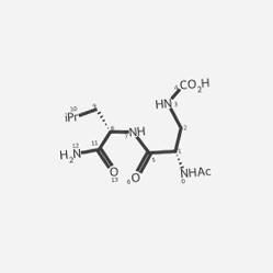 CC(=O)N[C@@H](CNC(=O)O)C(=O)N[C@@H](CC(C)C)C(N)=O